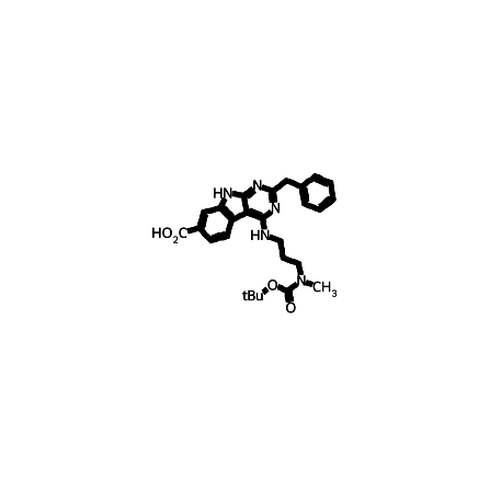 CN(CCCNc1nc(Cc2ccccc2)nc2[nH]c3cc(C(=O)O)ccc3c12)C(=O)OC(C)(C)C